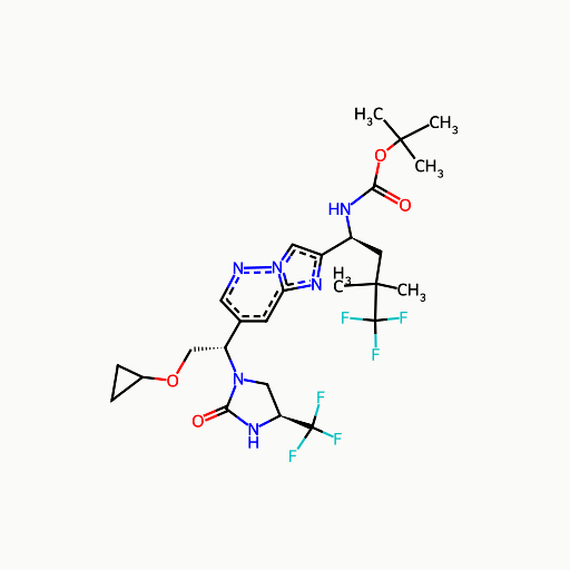 CC(C)(C)OC(=O)N[C@@H](CC(C)(C)C(F)(F)F)c1cn2ncc([C@@H](COC3CC3)N3C[C@@H](C(F)(F)F)NC3=O)cc2n1